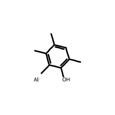 Cc1cc(C)c(O)c(C)c1C.[Al]